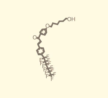 O=C(C=Cc1ccc(C(F)(F)C(F)(F)C(F)(F)C(F)(F)C(F)(F)C(F)(F)F)cc1)c1ccc(OCCCCCCO)cc1